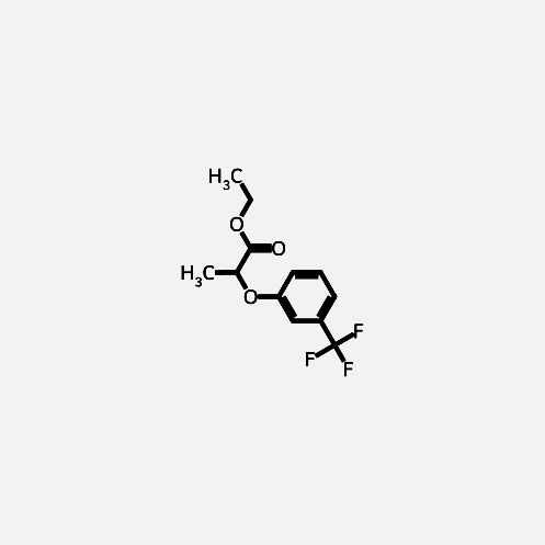 CCOC(=O)C(C)Oc1cccc(C(F)(F)F)c1